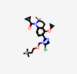 C[C@H]1CCc2c(ccc(-c3ncc(Br)n3COCC[Si](C)(C)C)c2OC2CC2)N1C(=O)C1CC1